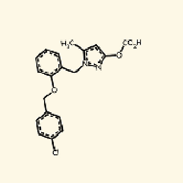 Cc1cc(OC(=O)O)nn1Cc1ccccc1OCc1ccc(Cl)cc1